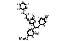 COc1ccc(C(Cc2ccc(Br)cc2)c2cn(CCCc3ccccc3)c(N)n2)c(Br)c1